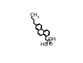 CCCCc1ccc2c(ccc3c(CP(=O)(O)O)cccc32)c1